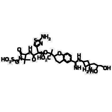 CC(ON=C(C(=O)NC1C(=O)N(OS(=O)(=O)O)C1(C)C)c1csc(N)n1)(C(=O)O)C1CCc2cc(C(=N)NC3CC(N)(CC(O)CO)C3)ccc2O1